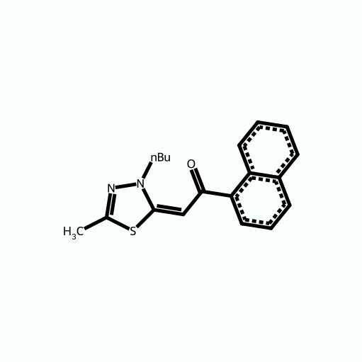 CCCCN1N=C(C)SC1=CC(=O)c1cccc2ccccc12